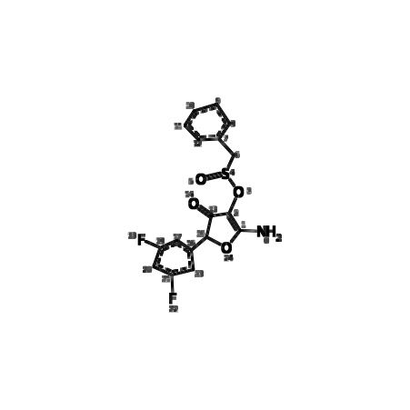 NC1=C(OS(=O)Cc2ccccc2)C(=O)C(c2cc(F)cc(F)c2)O1